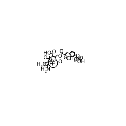 COC(=Cc1ccc(OS(=O)(=O)O)cc1)C(=O)OCC1=C(C(=O)O)N2C(=O)[C@]3(OC)C(=O)C(N)CCCC(=O)C1S[C@H]23